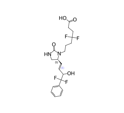 O=C(O)CCC(F)(F)CCCN1C(=O)NC[C@@H]1/C=C/C(O)C(F)(F)c1ccccc1